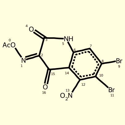 CC(=O)ON=C1C(=O)Nc2cc(Br)c(Br)c([N+](=O)[O-])c2C1=O